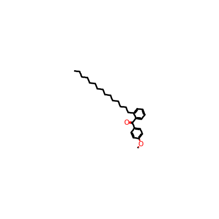 CCCCCCCCCCCCCCCc1ccccc1C(=O)c1ccc(OC)cc1